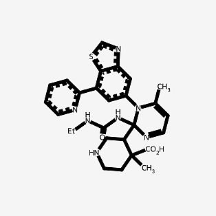 CCNC(=O)NC1(C2CNCCC2(C)C(=O)O)N=CC=C(C)N1c1cc(-c2ccccn2)c2scnc2c1